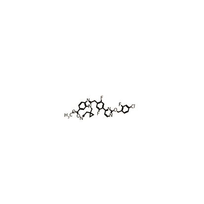 COC(=O)c1ccc2nc(Cc3cc(F)c(-c4ccnc(OCc5ccc(Cl)cc5F)n4)cc3F)n(CC3(CC#N)CC3)c2c1